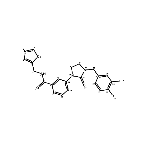 O=C(NCc1cncs1)c1ccnc(N2CCN(Cc3ccc(F)c(F)c3)C2=O)c1